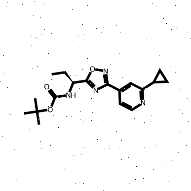 CC[C@H](NC(=O)OC(C)(C)C)c1nc(-c2ccnc(C3CC3)c2)no1